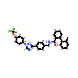 Cc1ccccc1-c1ccccc1C(=O)NCc1ccc(-c2ncn(-c3ccc(OC(F)(F)F)cc3)n2)cc1